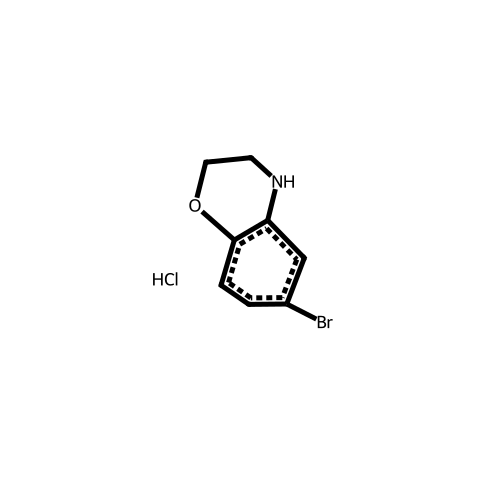 Brc1ccc2c(c1)NCCO2.Cl